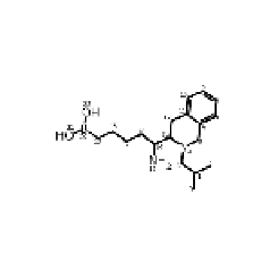 CC(C)CN1Cc2ccccc2CC1C(N)CCCCB(O)O